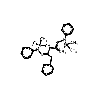 C/C(C/C(Cc1ccccc1)=N\N(c1ccccc1)[Si](C)(C)C)=N\N(c1ccccc1)[Si](C)(C)C